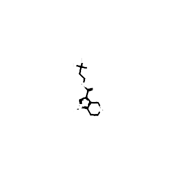 Cn1cc(C(=O)NCCC(F)(F)F)c2c1CCNC2